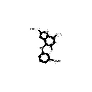 CCOC(=O)c1cc2c(Nc3cccc(OC)c3)c(F)cc([N+](=O)[O-])c2[nH]1